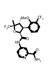 COc1c([C@H]2[C@@H](C(=O)Nc3ccnc(C(N)=O)c3)O[C@@](C)(C(F)(F)F)[C@@H]2C)cccc1C(F)(F)F